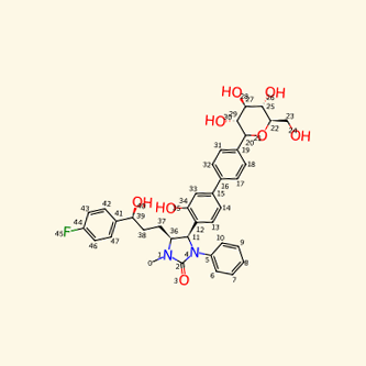 CN1C(=O)N(c2ccccc2)[C@H](c2ccc(-c3ccc(C4O[C@H](CO)[C@@H](O)[C@H](O)[C@H]4O)cc3)cc2O)[C@@H]1CC[C@H](O)c1ccc(F)cc1